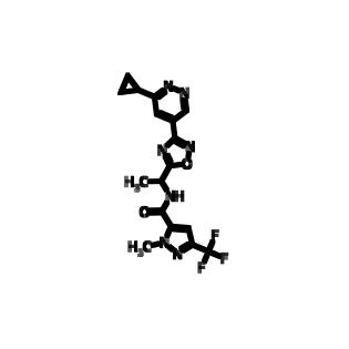 CC(NC(=O)c1cc(C(F)(F)F)nn1C)c1nc(-c2cnnc(C3CC3)c2)no1